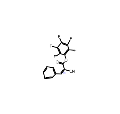 N#C/C(=C/c1ccccc1)C(=O)Oc1c(F)c(F)c(F)c(F)c1F